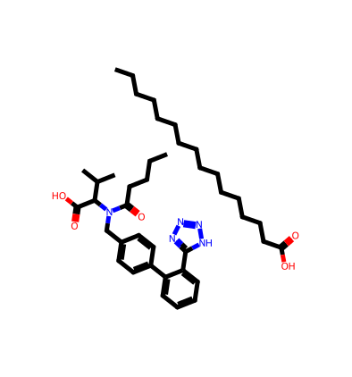 CCCCC(=O)N(Cc1ccc(-c2ccccc2-c2nnn[nH]2)cc1)C(C(=O)O)C(C)C.CCCCCCCCCCCCCCCC(=O)O